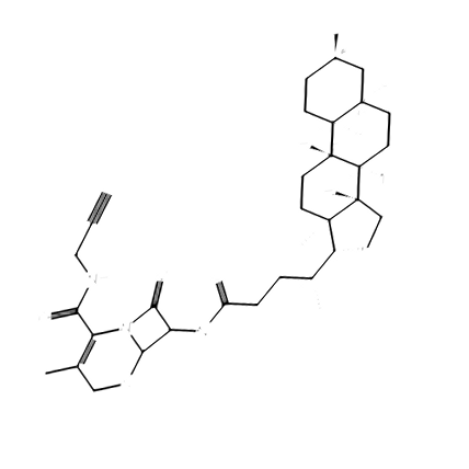 C#CCNC(=O)C1=C(C)CSC2C(NC(=O)CC[C@@H](C)[C@H]3CC[C@H]4[C@@H]5CC[C@@H]6C[C@H](O)CC[C@]6(C)[C@H]5CC[C@]34C)C(=O)N12